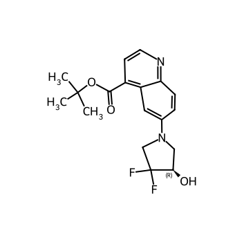 CC(C)(C)OC(=O)c1ccnc2ccc(N3C[C@@H](O)C(F)(F)C3)cc12